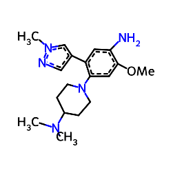 COc1cc(N2CCC(N(C)C)CC2)c(-c2cnn(C)c2)cc1N